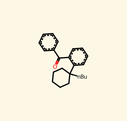 CCCCC1(c2ccccc2C(=O)c2ccccc2)CCCCC1